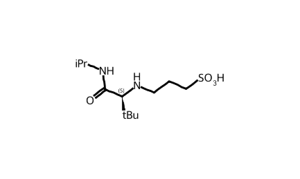 CC(C)NC(=O)[C@@H](NCCCS(=O)(=O)O)C(C)(C)C